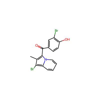 Cc1c(Br)c2ccccn2c1C(=O)c1ccc(O)c(Br)c1